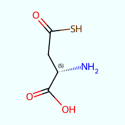 N[C@@H](CC(=O)S)C(=O)O